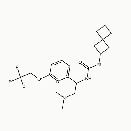 CN(C)CC(NC(=O)NC1CC2(CCC2)C1)c1cccc(OCC(F)(F)F)n1